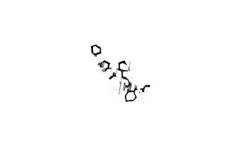 C=CC(=O)NC1CCCC[C@H]1NC(=O)c1sc2nccc3c2c1[nH]c(=C)n3-c1ccc(Oc2ccccc2)nc1